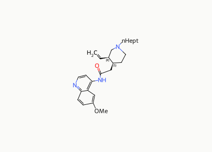 C=C[C@H]1CN(CCCCCCC)CC[C@H]1CC(=O)Nc1ccnc2ccc(OC)cc12